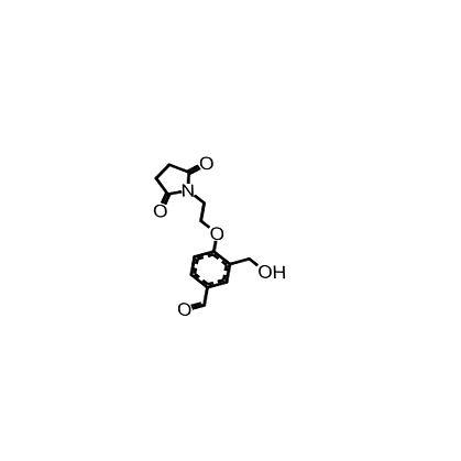 O=Cc1ccc(OCCN2C(=O)CCC2=O)c(CO)c1